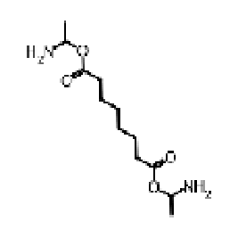 CC(N)OC(=O)CCCCCCC(=O)OC(C)N